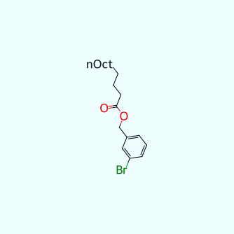 CCCCCCCCCCCC(=O)OCc1cccc(Br)c1